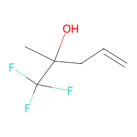 C=CCC(C)(O)C(F)(F)F